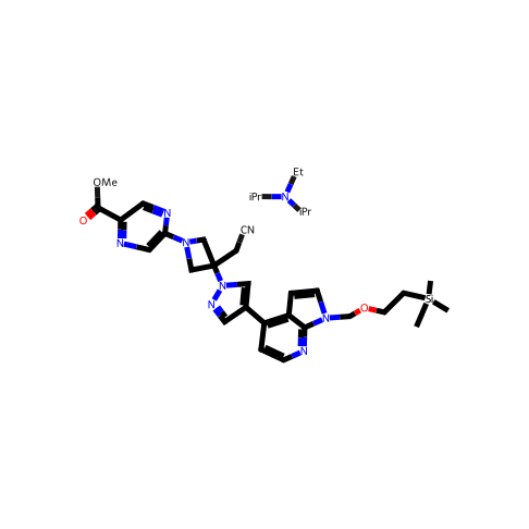 CCN(C(C)C)C(C)C.COC(=O)c1cnc(N2CC(CC#N)(n3cc(-c4ccnc5c4ccn5COCC[Si](C)(C)C)cn3)C2)cn1